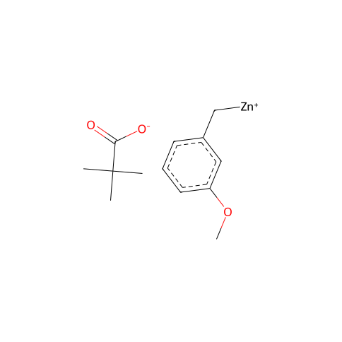 CC(C)(C)C(=O)[O-].COc1cccc([CH2][Zn+])c1